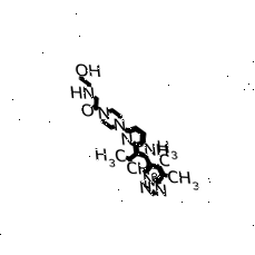 Cc1c(-c2[nH]c3ccc(N4CCN(C(=O)CNCCO)CC4)nc3c2C(C)C)cn2ncnc2c1C